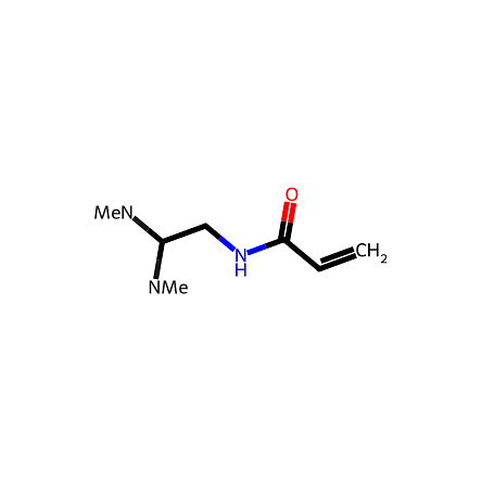 C=CC(=O)NCC(NC)NC